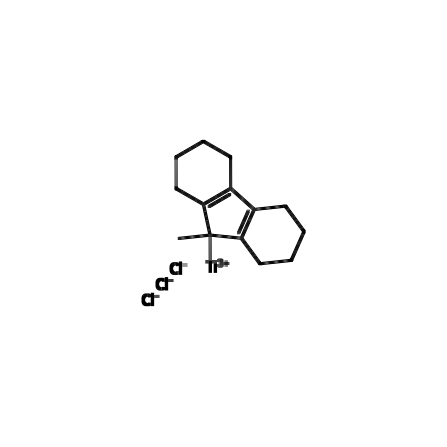 C[C]1([Ti+3])C2=C(CCCC2)C2=C1CCCC2.[Cl-].[Cl-].[Cl-]